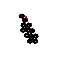 c1ccc2c(c1)-c1ccccc1C21c2ccccc2-c2c1cc1c3cccc4c5c(cc(c6cccc2c61)c43)C1(c2ccccc2-c2ccc(-c3ccc4oc6ccccc6c4c3)cc21)c1ccccc1-5